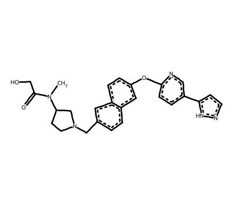 CN(C(=O)CO)C1CCN(Cc2ccc3cc(Oc4ccc(-c5ccn[nH]5)cn4)ccc3c2)C1